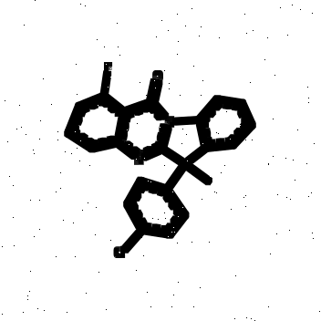 CC1(c2ccc(Cl)cc2)c2ccccc2-n2c1nc1cccc(F)c1c2=O